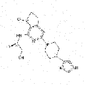 CC(C)[C@H](CO)Nc1nc(N2CCC(c3c[nH]cn3)CC2)nc2c1[S+]([O-])CC2